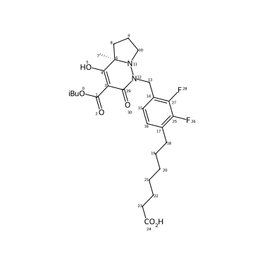 CC(C)COC(=O)C1=C(O)[C@@]2(C)CCCN2N(Cc2ccc(CCCCCCC(=O)O)c(F)c2F)C1=O